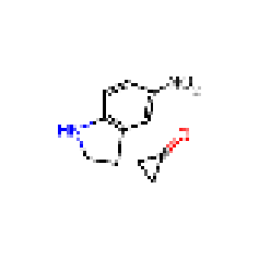 O=C1CC1.O=[N+]([O-])c1ccc2c(c1)CCN2